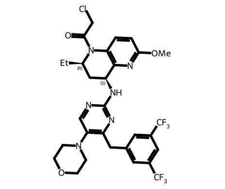 CC[C@@H]1C[C@H](Nc2ncc(N3CCOCC3)c(Cc3cc(C(F)(F)F)cc(C(F)(F)F)c3)n2)c2nc(OC)ccc2N1C(=O)CCl